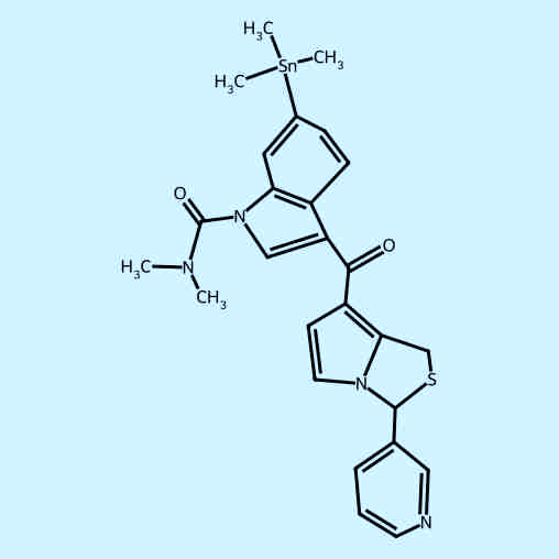 CN(C)C(=O)n1cc(C(=O)c2ccn3c2CSC3c2cccnc2)c2cc[c]([Sn]([CH3])([CH3])[CH3])cc21